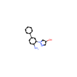 Nc1ccc(-c2ccccc2)cc1-n1cc(O)cn1